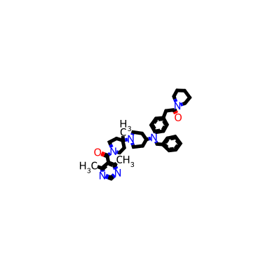 Cc1ncnc(C)c1C(=O)N1CCC(C)(N2CCC(N(Cc3ccccc3)c3ccc(CC(=O)N4CCCCC4)cc3)CC2)CC1